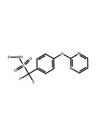 O=S(=O)(NF)C(F)(F)c1ccc(Oc2ncccn2)cc1